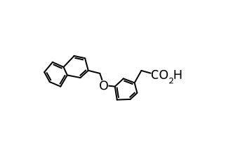 O=C(O)Cc1cccc(OCc2ccc3ccccc3c2)c1